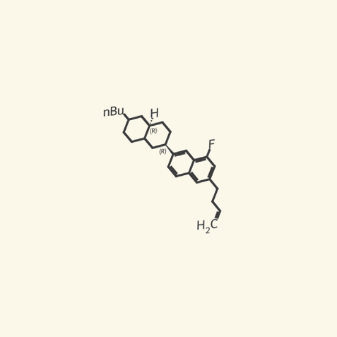 C=CCCc1cc(F)c2cc([C@@H]3CC[C@@H]4CC(CCCC)CCC4C3)ccc2c1